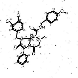 COc1ccc(CNC(=O)N2[C@H]3CN(Cc4ccc(Cl)c(Cl)c4)C(=O)[C@H](c4ccccc4)N3C(=O)CN2C)cc1